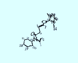 CCN(C(=O)CCCOc1nnnn1C)C1CCCCC1